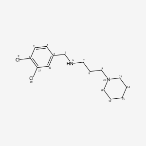 Clc1ccc(CNCCCN2CC[CH]CC2)cc1Cl